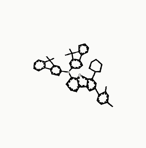 Cc1ccc(-c2cc(C3CCCCC3)c3oc4c(N(c5ccc6c(c5)C(C)(C)c5ccccc5-6)c5ccc6c(c5)C(C)(C)c5ccccc5-6)cccc4c3c2)c(C)c1